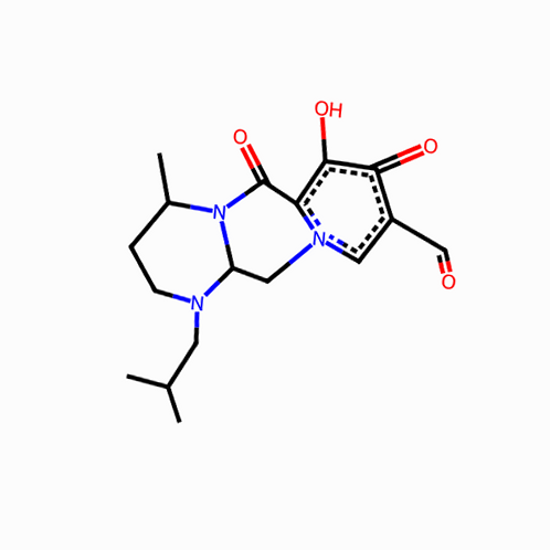 CC(C)CN1CCC(C)N2C(=O)c3c(O)c(=O)c(C=O)cn3CC12